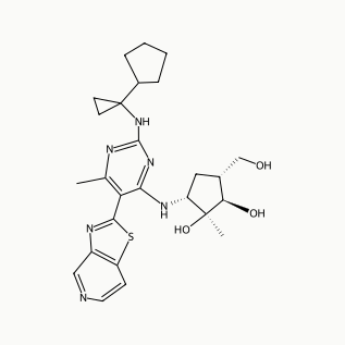 Cc1nc(NC2(C3CCCC3)CC2)nc(N[C@@H]2C[C@H](CO)[C@@H](O)[C@@]2(C)O)c1-c1nc2cnccc2s1